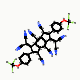 N#CC(C#N)=C1C(c2ccc(OC(F)(F)F)cc2)=C(C#N)c2c(C#N)c3c(c(C#N)c21)C(C#N)=C(c1ccc(OC(F)(F)F)cc1)C3=C(C#N)C#N